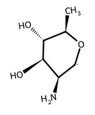 C[C@H]1O[CH][C@@H](N)[C@@H](O)[C@@H]1O